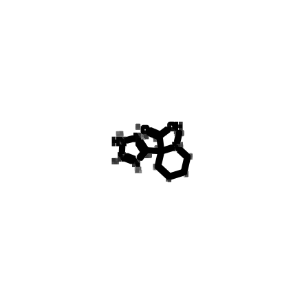 CN1CCCCC1(C(=O)O)c1nn[nH]n1